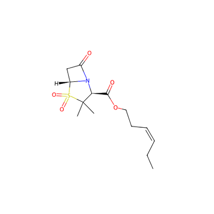 CC/C=C\CCOC(=O)[C@@H]1N2C(=O)C[C@H]2S(=O)(=O)C1(C)C